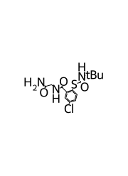 CC(C)(C)NC(=O)Sc1ccc(Cl)cc1C(=O)NCC(N)=O